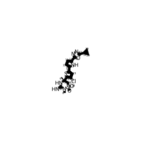 CN1C(=N)N[C@](C)(c2sc(-c3ccc(-c4nnc(C5CC5)o4)[nH]3)cc2Cl)CS1(=O)=O